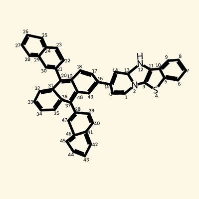 C1=CN2c3sc4ccccc4c3NC2C=C1c1ccc2c(-c3ccc4ccccc4c3)c3ccccc3c(-c3ccc4ccccc4c3)c2c1